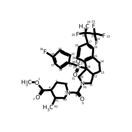 COC(=O)C1CCN(C(=O)N2CC3CCc4cc(C(C)(F)C(F)(F)F)ccc4C3(S(=O)(=O)c3ccc(F)cc3)C2)CC1C